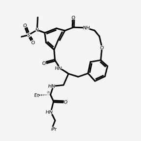 CC[C@H](NCC1Cc2cccc(c2)OCCNC(=O)c2cc(cc(N(C)S(C)(=O)=O)c2)C(=O)N1)C(=O)NCC(C)C